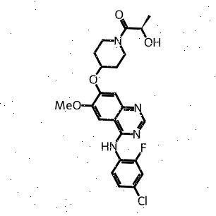 COc1cc2c(Nc3ccc(Cl)cc3F)ncnc2cc1OC1CCN(C(=O)[C@@H](C)O)CC1